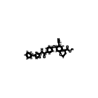 COC(=O)C1CCOc2cc(Oc3ccc(C(=O)Nc4nnc(-c5ccccc5)s4)cc3)c(C#N)cc21